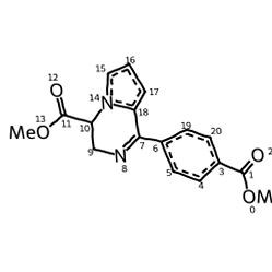 COC(=O)c1ccc(C2=NCC(C(=O)OC)n3cccc32)cc1